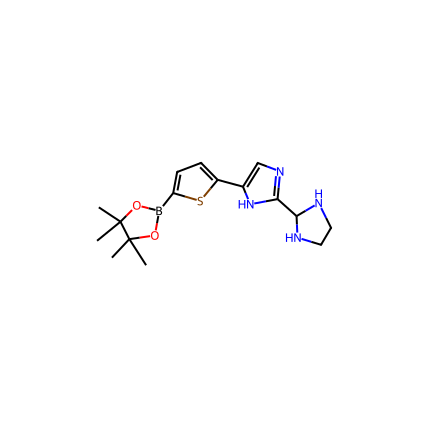 CC1(C)OB(c2ccc(-c3cnc(C4NCCN4)[nH]3)s2)OC1(C)C